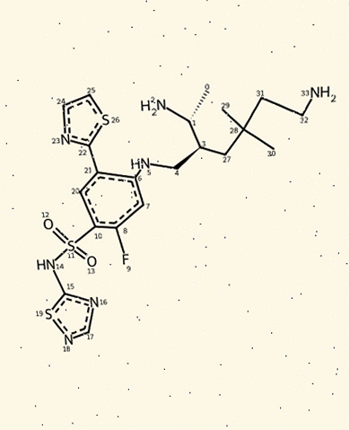 C[C@@H](N)[C@H](CNc1cc(F)c(S(=O)(=O)Nc2ncns2)cc1-c1nccs1)CC(C)(C)CCN